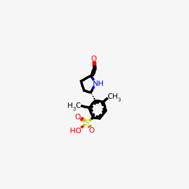 Cc1ccc(S(=O)(=O)O)c(C)c1[C@@H]1CCC(=C=O)N1